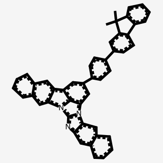 CC1(C)c2ccccc2-c2ccc(-c3ccc(-c4cc5c6cc7ccccc7cc6n6c5c(c4)n4c5cc7ccccc7cc5nc46)cc3)cc21